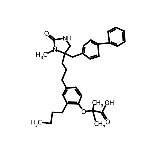 CCCCc1cc(CCCC2(Cc3ccc(-c4ccccc4)cc3)CNC(=O)N2C)ccc1OC(C)(C)C(=O)O